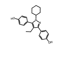 CCc1c(-c2ccc(O)cc2)nn(C2CCCCC2)c1-c1ccc(O)cc1